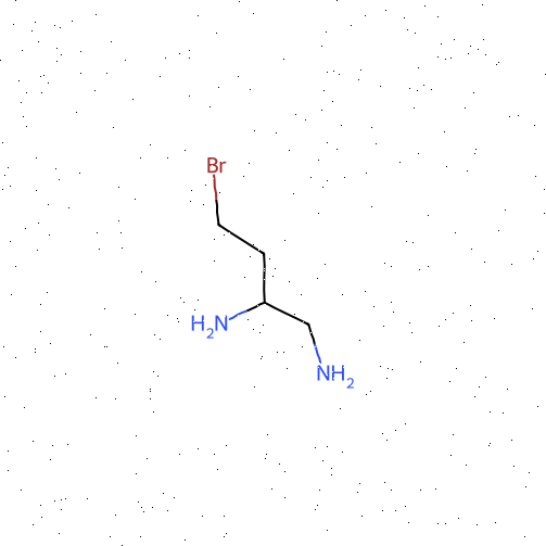 NCC(N)CCBr